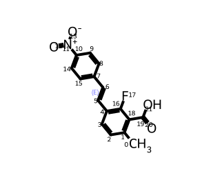 Cc1ccc(/C=C/c2ccc([N+](=O)[O-])cc2)c(F)c1C(=O)O